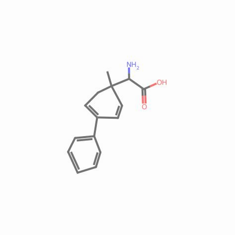 CC1(C(N)C(=O)O)C=CC(c2ccccc2)=CC1